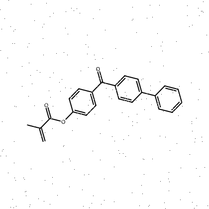 C=C(C)C(=O)Oc1ccc(C(=O)c2ccc(-c3ccccc3)cc2)cc1